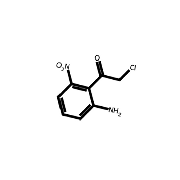 Nc1cccc([N+](=O)[O-])c1C(=O)CCl